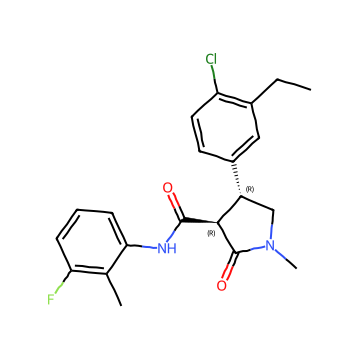 CCc1cc([C@@H]2CN(C)C(=O)[C@H]2C(=O)Nc2cccc(F)c2C)ccc1Cl